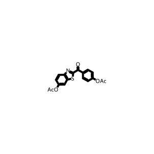 CC(=O)Oc1ccc(C(=O)c2nc3ccc(OC(C)=O)cc3s2)cc1